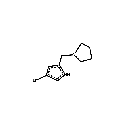 Brc1c[nH]c(CN2CCCC2)c1